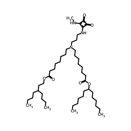 CCCCCCC(CCCCCC)OC(=O)CCCCCCCN(CCCCCCCC(=O)OCCC(CCCC)CCCC)CCCNc1c(NC)c(=O)c1=O